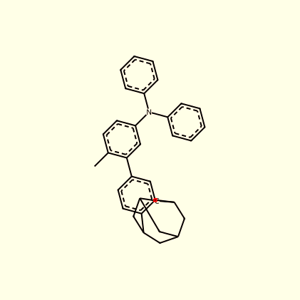 Cc1ccc(N(c2ccccc2)c2ccccc2)cc1-c1ccc2c(c1)C1CC3CC(CC2C3)C1